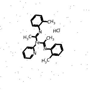 C[C](=Nc1ccccc1C)[Fe]([C](C)=Nc1ccccc1C)[c]1ccccn1.Cl